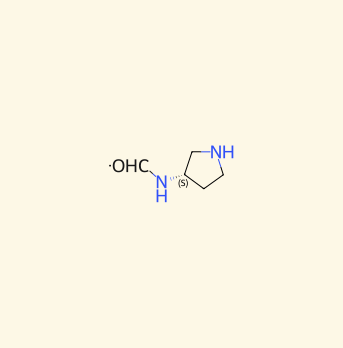 O=[C]N[C@H]1CCNC1